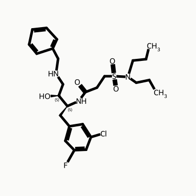 CCCN(CCC)S(=O)(=O)CCC(=O)N[C@@H](Cc1cc(F)cc(Cl)c1)[C@@H](O)CNCc1ccccc1